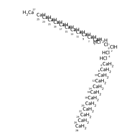 Cl.Cl.Cl.Cl.Cl.[CaH2].[CaH2].[CaH2].[CaH2].[CaH2].[CaH2].[CaH2].[CaH2].[CaH2].[CaH2].[CaH2].[CaH2].[CaH2].[CaH2].[CaH2].[CaH2].[CaH2].[CaH2].[CaH2].[CaH2].[CaH2].[CaH2].[CaH2].[CaH2]